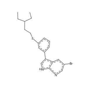 CCC(CC)CCSc1cccc(-c2c[nH]c3ncc(Br)cc23)c1